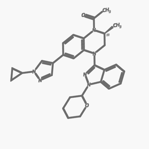 CC(=O)N1c2ccc(-c3cnn(C4CC4)c3)cc2N(c2nn(C3CCCCO3)c3ccccc23)C[C@@H]1C